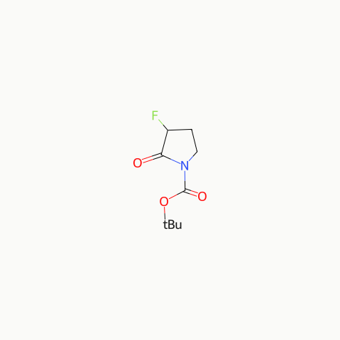 CC(C)(C)OC(=O)N1CCC(F)C1=O